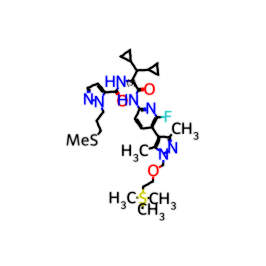 CSCCCn1nccc1C(=O)N[C@H](C(=O)Nc1ccc(-c2c(C)nn(COCCS(C)(C)C)c2C)c(F)n1)C(C1CC1)C1CC1